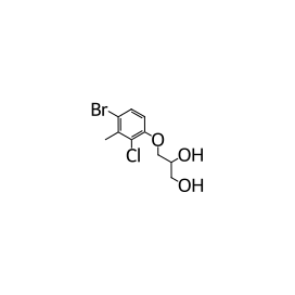 Cc1c(Br)ccc(OCC(O)CO)c1Cl